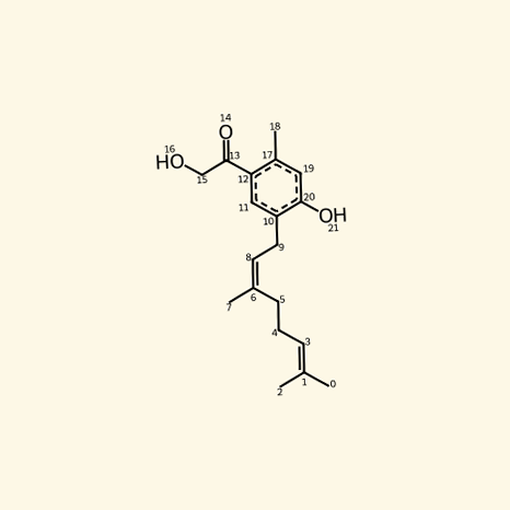 CC(C)=CCCC(C)=CCc1cc(C(=O)CO)c(C)cc1O